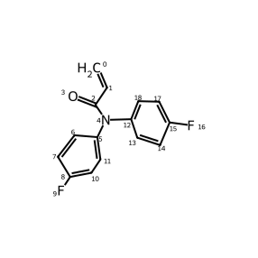 C=CC(=O)N(c1ccc(F)cc1)c1ccc(F)cc1